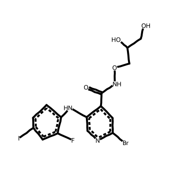 O=C(NOCC(O)CO)c1cc(Br)ncc1Nc1ccc(I)cc1F